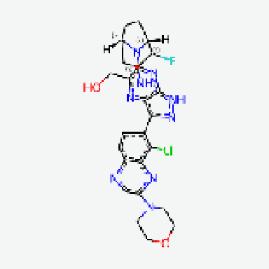 N[C@H]1C[C@@H]2CC[C@H]([C@H]1F)N2c1nc2[nH]nc(-c3ccc4ncc(N5CCOCC5)nc4c3Cl)c2nc1CO